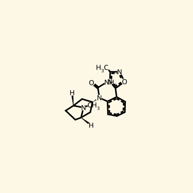 Cc1noc(-c2ccccc2N(C(N)=O)[C@H]2C[C@H]3CC[C@@H](C2)N3C)n1